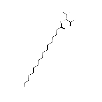 CCCCCCCCCCCCCCCCC(=O)N[C@H](C(=O)O)[C@@H](C)O